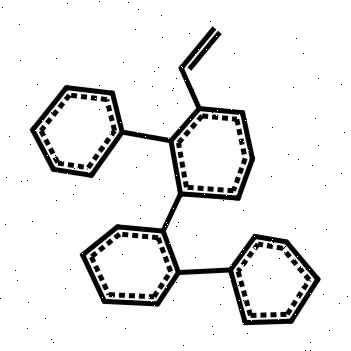 C=Cc1cccc(-c2ccccc2-c2ccccc2)c1-c1ccccc1